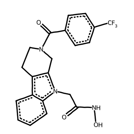 O=C(Cn1c2c(c3ccccc31)CCN(C(=O)c1ccc(C(F)(F)F)cc1)C2)NO